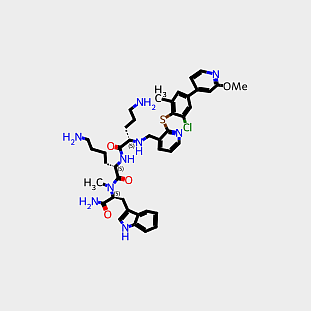 COc1cc(-c2cc(C)c(Sc3ncccc3CN[C@@H](CCCN)C(=O)N[C@@H](CCCCN)C(=O)N(C)[C@@H](Cc3c[nH]c4ccccc34)C(N)=O)c(Cl)c2)ccn1